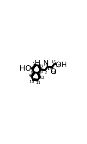 N[C@@H](Cc1ccc(O)c2ccccc12)C(=O)CO